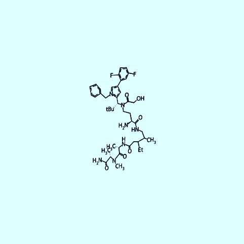 CCC(CC(=O)N[C@@H](C)C(=O)N(C)[C@@H](C)C(N)=O)C(C)CNC(=O)[C@@H](N)CCN(C(=O)CO)[C@@H](c1cc(-c2cc(F)ccc2F)cn1Cc1ccccc1)C(C)(C)C